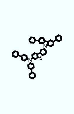 C1=C2Sc3cc(N(c4ccc(-c5ccccc5)cc4)c4ccc(-c5ccccc5)cc4)ccc3C2CC(n2c3ccc(-c4ccccc4)cc3c3ccc(-c4ccccc4)cc32)=C1